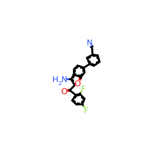 N#Cc1cccc(-c2ccc3c(N)c(C(=O)c4ccc(F)cc4F)oc3c2)c1